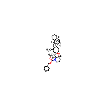 CC1=C2C[C@H]3[C@@H](CC[C@@H]4CCCC[C@@]43C)[C@@H]2CC[C@@]2(C1)O[C@@H]1CCCN(C(=O)OCc3ccccc3)[C@H]1[C@H]2C